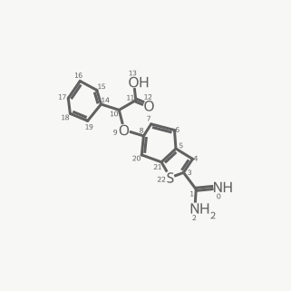 N=C(N)c1cc2ccc(OC(C(=O)O)c3ccccc3)cc2s1